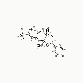 CC(O[C@@H]1[C@@H](O)[C@H]2OC(c3ccccc3)OC[C@H]2O[C@H]1O)[Si](C)(C)C